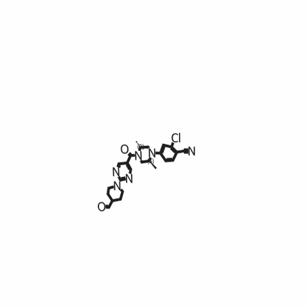 C[C@@H]1CN(c2ccc(C#N)c(Cl)c2)[C@@H](C)CN1C(=O)c1cnc(N2CCC(C=O)CC2)nc1